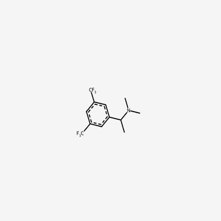 CC(c1cc(C(F)(F)F)cc(C(F)(F)F)c1)N(C)C